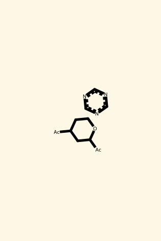 CC(=O)C1CCOC(C(C)=O)C1.c1ncncn1